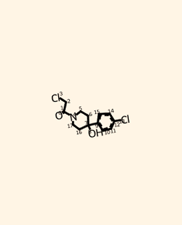 O=C(CCl)N1CCC(O)(c2ccc(Cl)cc2)CC1